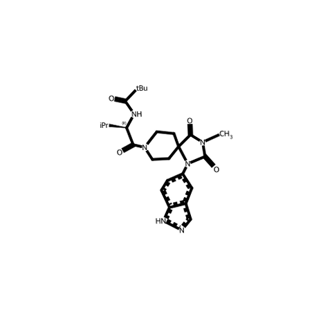 CC(C)[C@@H](NC(=O)C(C)(C)C)C(=O)N1CCC2(CC1)C(=O)N(C)C(=O)N2c1ccc2[nH]ncc2c1